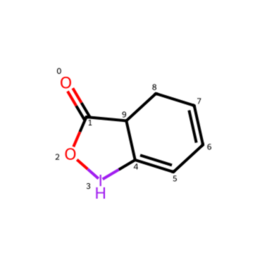 O=C1O[IH]C2=CC=CCC12